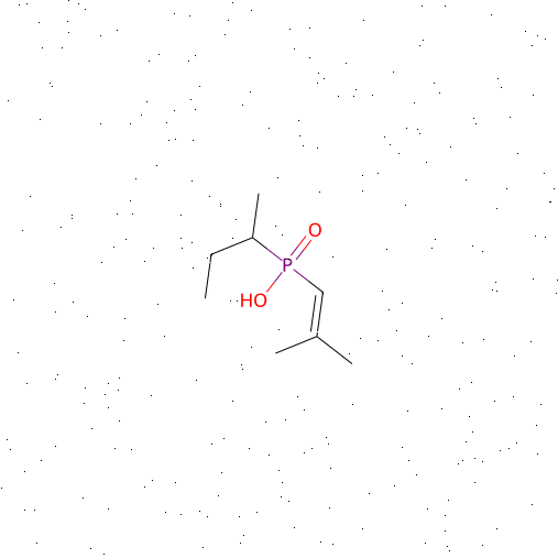 CCC(C)P(=O)(O)C=C(C)C